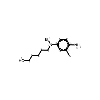 CCN(CCCCCO)c1ccc(N)c(C)c1